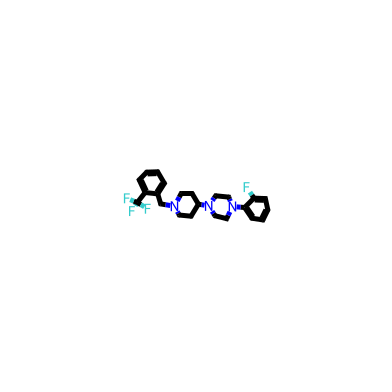 Fc1ccccc1N1CCN(C2CCN(Cc3ccccc3C(F)(F)F)CC2)CC1